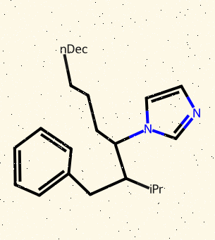 CCCCCCCCCCCCCC(C(Cc1ccccc1)C(C)C)n1ccnc1